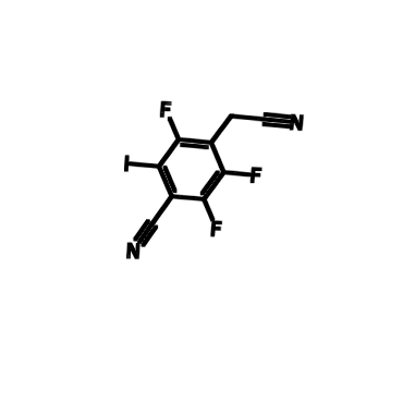 N#CCc1c(F)c(F)c(C#N)c(I)c1F